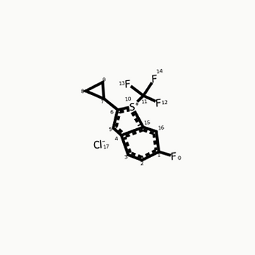 Fc1ccc2cc(C3CC3)[s+](C(F)(F)F)c2c1.[Cl-]